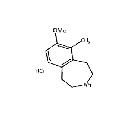 COc1ccc2c(c1C)CCNCC2.Cl